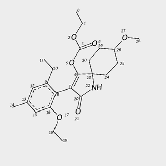 CCOC(=O)OC1=C(c2c(CC)cc(C)cc2OCC)C(=O)NC12CCC(OC)CC2